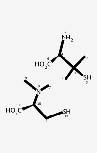 CC(C)(S)[C@H](N)C(=O)O.CN(C)[C@@H](CS)C(=O)O